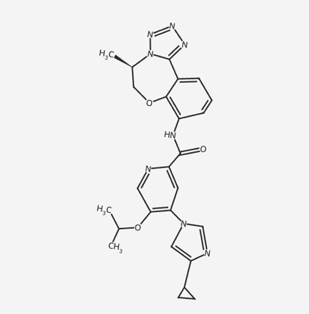 CC(C)Oc1cnc(C(=O)Nc2cccc3c2OC[C@@H](C)n2nnnc2-3)cc1-n1cnc(C2CC2)c1